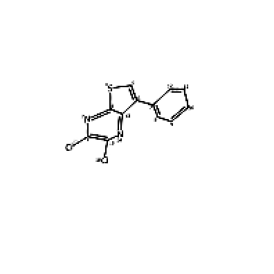 Clc1nc2scc(-c3ccccc3)c2nc1Cl